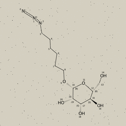 [N-]=[N+]=NCCCCCCO[C@@H]1O[C@H](CO)[C@@H](O)[C@H](O)[C@@H]1O